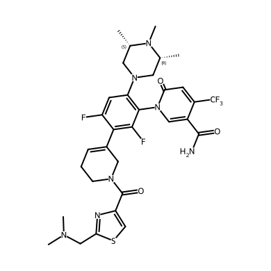 C[C@@H]1CN(c2cc(F)c(C3=CCCN(C(=O)c4csc(CN(C)C)n4)C3)c(F)c2-n2cc(C(N)=O)c(C(F)(F)F)cc2=O)C[C@H](C)N1C